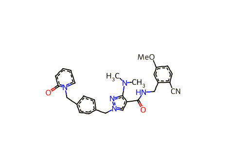 COc1ccc(C#N)c(CNC(=O)c2cn(Cc3ccc(Cn4ccccc4=O)cc3)nc2N(C)C)c1